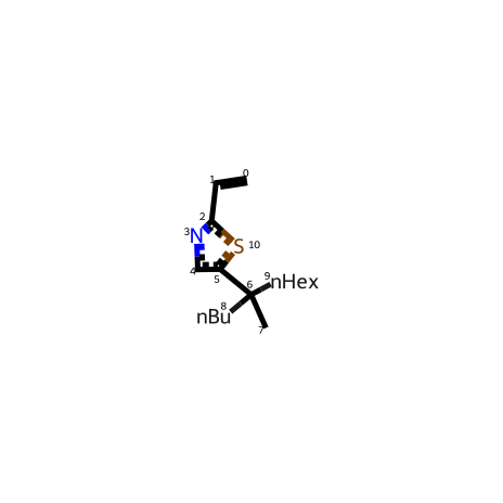 C=Cc1ncc(C(C)(CCCC)CCCCCC)s1